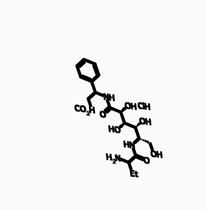 CCC(N)C(=O)N[C@@H](CO)[C@@H](O)[C@@H](O)[C@H](O)C(=O)NC(CC(=O)O)c1ccccc1.Cl